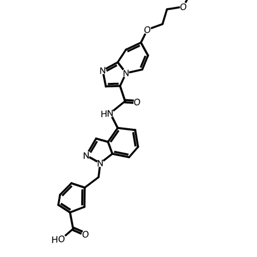 COCCOc1ccn2c(C(=O)Nc3cccc4c3cnn4Cc3cccc(C(=O)O)c3)cnc2c1